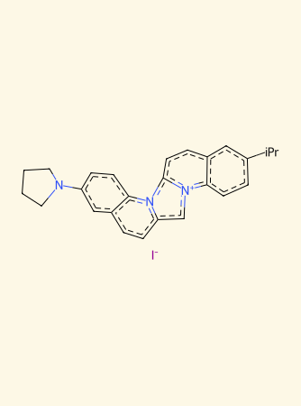 CC(C)c1ccc2c(ccc3n4c(ccc5cc(N6CCCC6)ccc54)c[n+]23)c1.[I-]